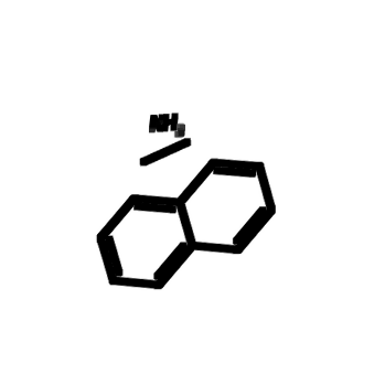 CC.N.c1ccc2ccccc2c1